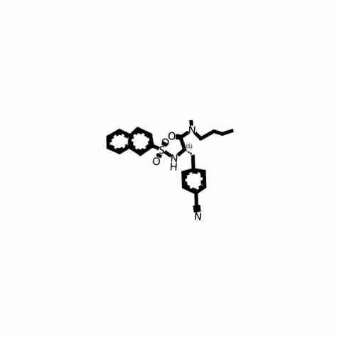 CCCCN(C)C(=O)[C@H](Cc1ccc(C#N)cc1)NS(=O)(=O)c1ccc2ccccc2c1